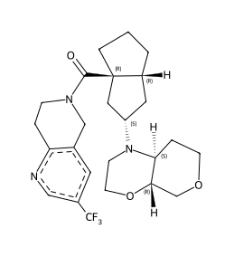 O=C(N1CCc2ncc(C(F)(F)F)cc2C1)[C@@]12CCC[C@@H]1C[C@H](N1CCO[C@H]3COCC[C@@H]31)C2